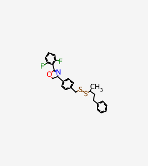 CC(CCc1ccccc1)SSCc1ccc(C2COC(c3c(F)cccc3F)=N2)cc1